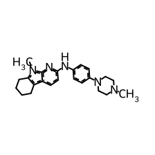 CN1CCN(c2ccc(Nc3ccc4c5c(n(C)c4n3)CCCC5)cc2)CC1